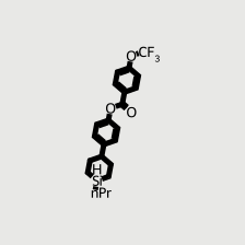 CCC[SiH]1CCC(c2ccc(OC(=O)c3ccc(OC(F)(F)F)cc3)cc2)CC1